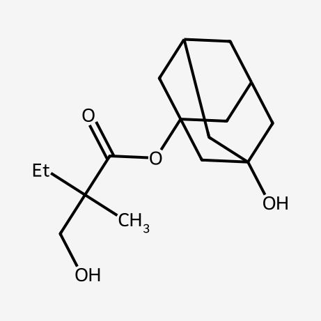 CCC(C)(CO)C(=O)OC12CC3CC(CC(O)(C3)C1)C2